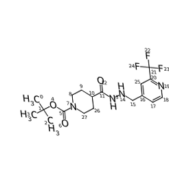 CC(C)(C)OC(=O)N1CCC(C(=O)NNCc2ccnc(C(F)(F)F)c2)CC1